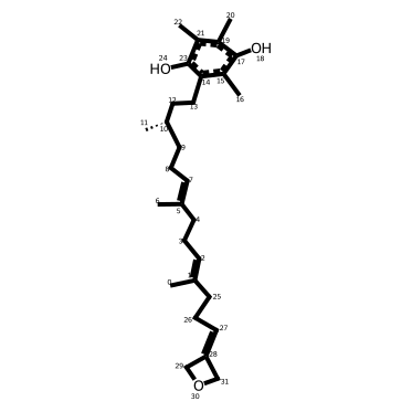 C/C(=C\CC/C(C)=C/CC[C@H](C)CCc1c(C)c(O)c(C)c(C)c1O)CCC=C1COC1